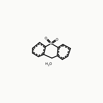 O.O=S1(=O)c2ccccc2Cc2ccccc21